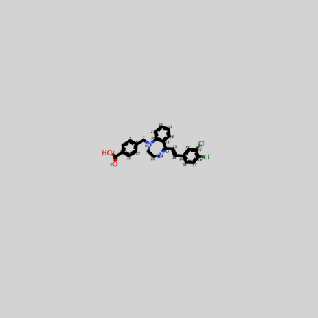 O=C(O)c1ccc(CN2CCN=C(C=Cc3ccc(Cl)c(Cl)c3)c3ccccc32)cc1